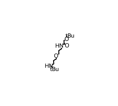 CC(C)(C)NCCCOCCCNC(=O)COC(C)(C)C